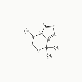 CC1(C)OCC(N)n2nccc21